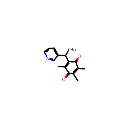 CCCCC(C1=C(C)C(=O)C(C)=C(C)C1=O)c1cccnc1